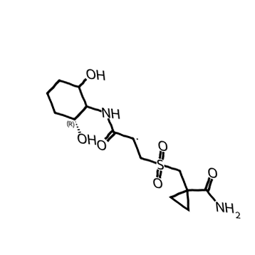 NC(=O)C1(CS(=O)(=O)C[CH]C(=O)NC2C(O)CCC[C@H]2O)CC1